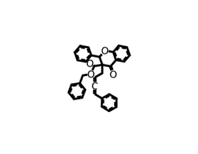 O=C(OCc1ccccc1)C1(CC=C=Cc2ccccc2)C(=O)c2ccccc2OC1c1ccccc1